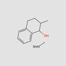 CC1CCc2ccccc2C1O.CNC